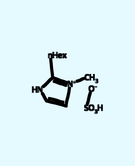 CCCCCCc1[nH]cc[n+]1C.O=S(=O)([O-])O